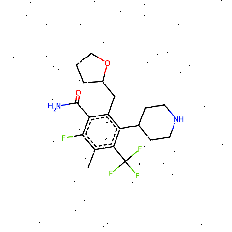 Cc1c(F)c(C(N)=O)c(CC2CCCO2)c(C2CCNCC2)c1C(F)(F)F